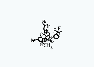 CS(=O)(=O)c1cc(C#N)ccc1C1NC(=O)N(c2cccc(C(F)(F)F)c2)C(CBr)=C1C(=O)OCC(Br)CBr